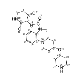 Cn1c(=O)n(C2C(=O)CCNC2=O)c2cccc(N3CCC(OC4CCNCC4)CC3)c21